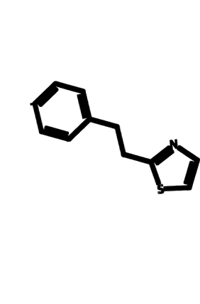 [c]1ccc(CCc2nccs2)cc1